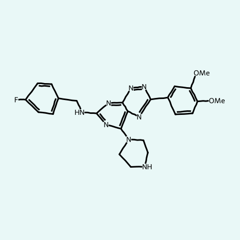 COc1ccc(-c2nnc3nc(NCc4ccc(F)cc4)nc(N4CCNCC4)c3n2)cc1OC